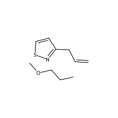 C=CCc1ccsn1.[CH2]CCOC